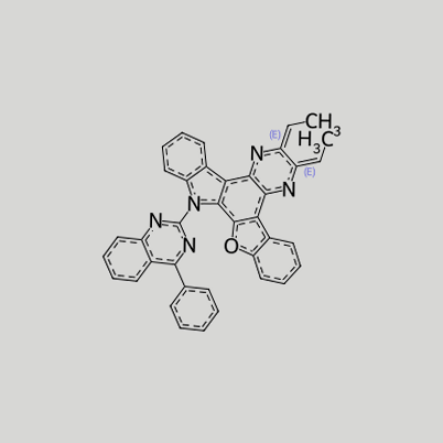 C/C=c1/nc2c(n/c1=C/C)c1c3ccccc3n(-c3nc(-c4ccccc4)c4ccccc4n3)c1c1oc3ccccc3c21